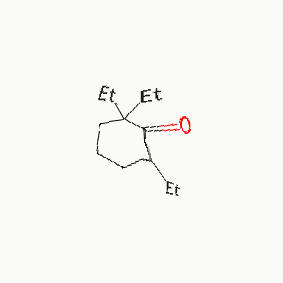 CCC1CCCC(CC)(CC)C1=O